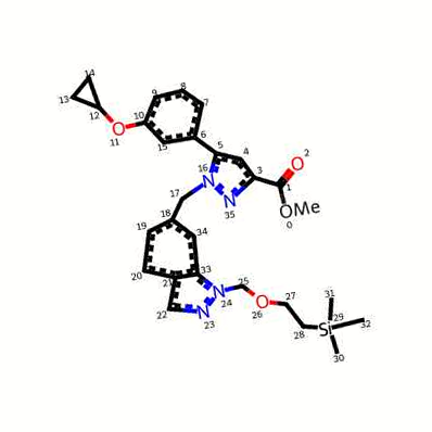 COC(=O)c1cc(-c2cccc(OC3CC3)c2)n(Cc2ccc3cnn(COCC[Si](C)(C)C)c3c2)n1